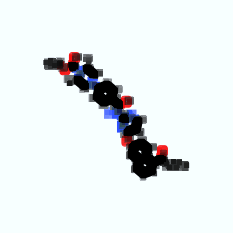 CNC(=O)c1cccc2cc(Oc3ccnc(NC(=O)c4ccc(N5C[C@@H](C)N(C(=O)OC(C)(C)C)[C@@H](C)C5)cc4)n3)ccc12